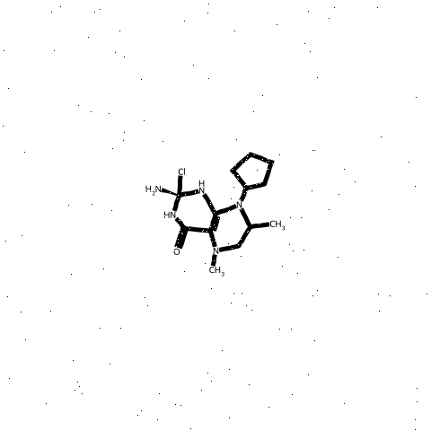 CC1CN(C)C2=C(N[C@@](N)(Cl)NC2=O)N1C1CCCC1